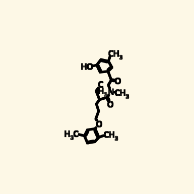 CCC(CCCOc1cc(C)ccc1C)C(=O)N(C)CC(=O)c1cc(C)cc(O)c1